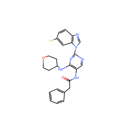 O=C(Cc1ccccc1)Nc1cnc(-n2cnc3ccc(F)cc32)nc1NC1CCOCC1